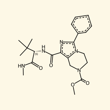 CNC(=O)[C@@H](NC(=O)c1nc(-c2ccccc2)n2c1CN(C(=O)OC)CC2)C(C)(C)C